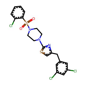 O=S(=O)(c1ccccc1Cl)N1CCN(c2nc(Cc3cc(Cl)cc(Cl)c3)cs2)CC1